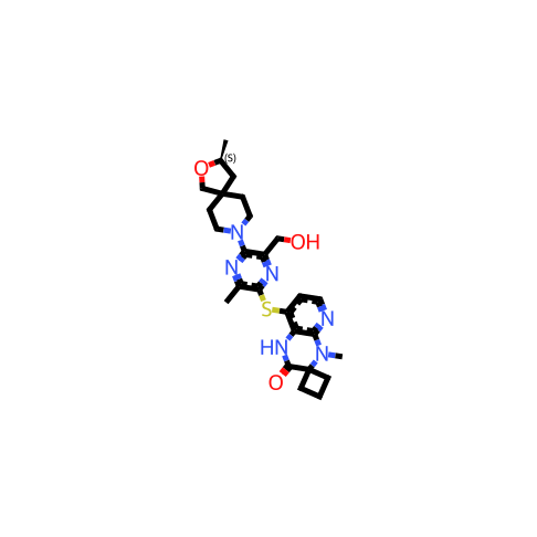 Cc1nc(N2CCC3(CC2)CO[C@@H](C)C3)c(CO)nc1Sc1ccnc2c1NC(=O)C1(CCC1)N2C